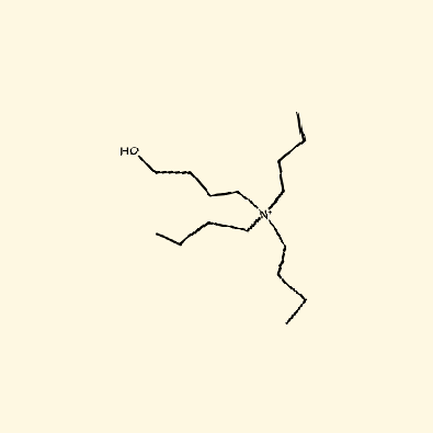 CCCC[N+](CCCC)(CCCC)CCCCO